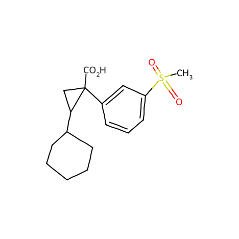 CS(=O)(=O)c1cccc(C2(C(=O)O)CC2C2CCCCC2)c1